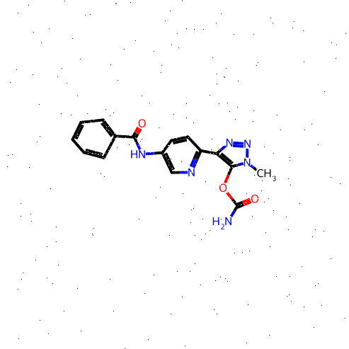 Cn1nnc(-c2ccc(NC(=O)c3ccccc3)cn2)c1OC(N)=O